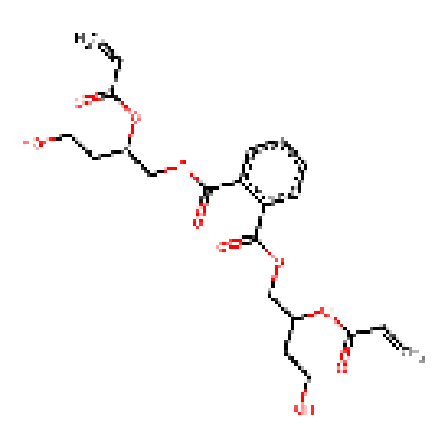 C=CC(=O)OC(CCO)COC(=O)c1ccccc1C(=O)OCC(CCO)OC(=O)C=C